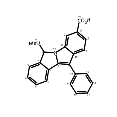 COC1c2ccccc2-c2c(-c3ccccc3)c3ccc(C(=O)O)cc3n21